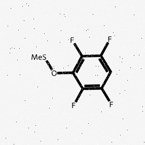 CSOc1c(F)c(F)cc(F)c1F